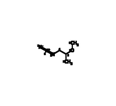 COC(C)CN=[N+]=[N-]